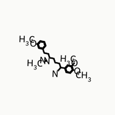 CN=NC(CCCC(C#N)c1ccc(OC)c(OC)c1)CCc1cccc(OC)c1